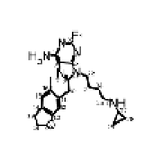 Nc1nc(F)nc2c1nc(Cc1cc3c(cc1I)CCO3)n2CCCCNC1CC1